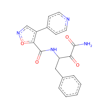 NC(=O)C(=O)C(Cc1ccccc1)NC(=O)c1oncc1-c1ccncc1